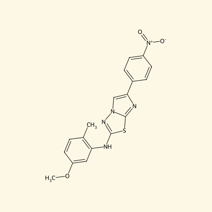 COc1ccc(C)c(Nc2nn3cc(-c4ccc([N+](=O)[O-])cc4)nc3s2)c1